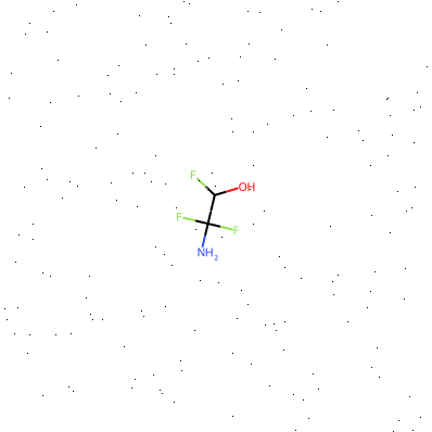 NC(F)(F)C(O)F